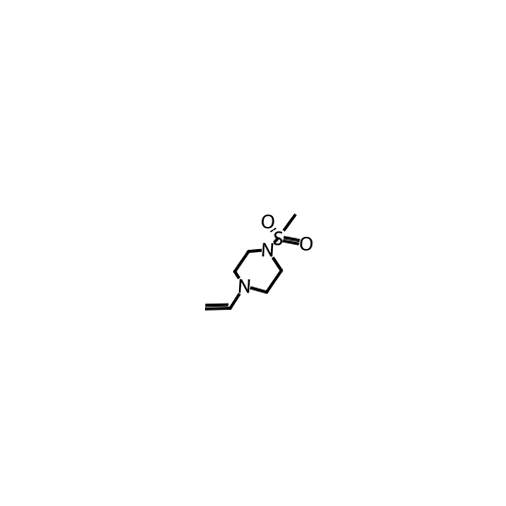 C=CN1CCN(S(C)(=O)=O)CC1